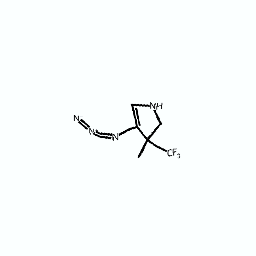 CC1(C(F)(F)F)CNC=C1N=[N+]=[N-]